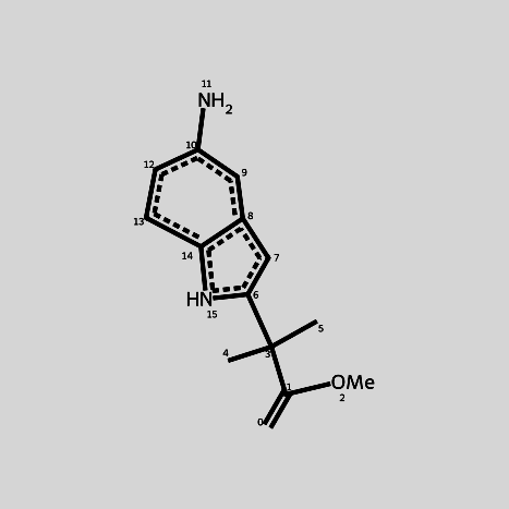 C=C(OC)C(C)(C)c1cc2cc(N)ccc2[nH]1